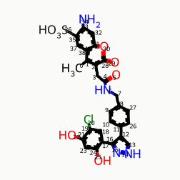 Cc1c(CC(=O)NCc2ccc(-c3c[nH]nc3-c3cc(Cl)c(O)cc3O)cc2)c(=O)oc2cc(N)c(S(=O)(=O)O)cc12